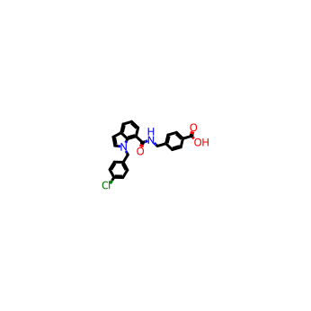 O=C(O)c1ccc(CNC(=O)c2cccc3ccn(Cc4ccc(Cl)cc4)c23)cc1